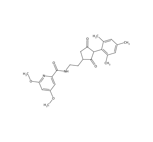 COc1cc(OC)nc(C(=O)NCCC2CC(=O)C(c3c(C)cc(C)cc3C)C2=O)c1